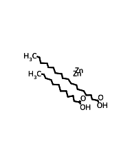 CCCCCCCCCCCC(=O)O.CCCCCCCCCCCCCCCCCC(=O)O.[Zn].[Zn]